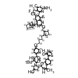 Cc1cc(N)nc(-c2c(Cl)cc3c(N4CC5CCC(C4)N5)nc(OC[C@@H]4CCCN4CCCCOc4ccc(C(=O)N[C@H](C(=O)N5C[C@H](O)C[C@H]5C(=O)N[C@@H](C)c5ccc(-c6scnc6C)cc5)C(C)(C)C)nc4)nc3c2F)c1C(F)(F)F